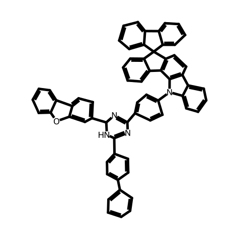 c1ccc(-c2ccc(C3=NC(c4ccc(-n5c6ccccc6c6ccc7c(c65)-c5ccccc5C75c6ccccc6-c6ccccc65)cc4)=NC(c4ccc5c(c4)oc4ccccc45)N3)cc2)cc1